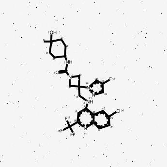 CC1(O)CCC(NC(=O)N2CC(CNc3cc(C(F)(F)F)nc4ccc(Cl)cc34)(n3cc(F)cn3)C2)CC1